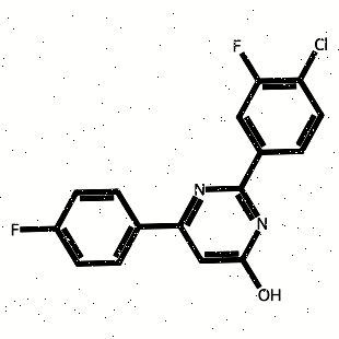 Oc1cc(-c2ccc(F)cc2)nc(-c2ccc(Cl)c(F)c2)n1